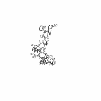 COc1cc(-c2cnc(OC)c(Cl)c2)c(F)cc1-n1c(=O)ccc2cc(S(=O)(=O)Nc3ccon3)ccc21